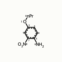 CCCOc1ccc(N)c([N+](=O)[O-])c1